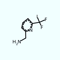 NCc1cccc(C(F)(F)I)n1